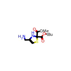 COC(=O)C1(C(=O)OC(C)(C)C)NC(CN)=CS1